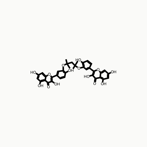 CC(C)(CC(C)(C)Oc1cc(-c2oc3cc(O)cc(O)c3c(=O)c2O)ccc1O)Oc1cc(-c2oc3cc(O)cc(O)c3c(=O)c2O)ccc1O